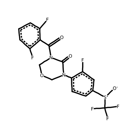 O=C(c1c(F)cccc1F)N1COCN(c2ccc([S+]([O-])C(F)(F)F)cc2F)C1=O